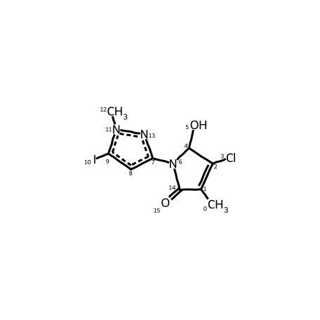 CC1=C(Cl)C(O)N(c2cc(I)n(C)n2)C1=O